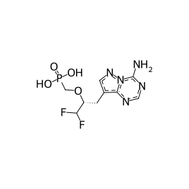 Nc1ncnc2c(C[C@@H](OCP(=O)(O)O)C(F)F)cnn12